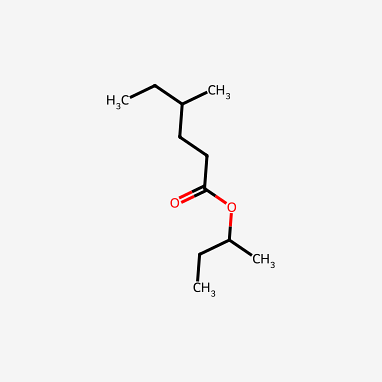 CCC(C)CCC(=O)OC(C)CC